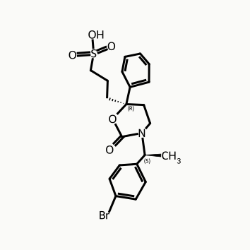 C[C@@H](c1ccc(Br)cc1)N1CC[C@](CCCS(=O)(=O)O)(c2ccccc2)OC1=O